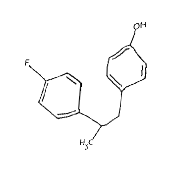 CC(Cc1ccc(O)cc1)c1ccc(F)cc1